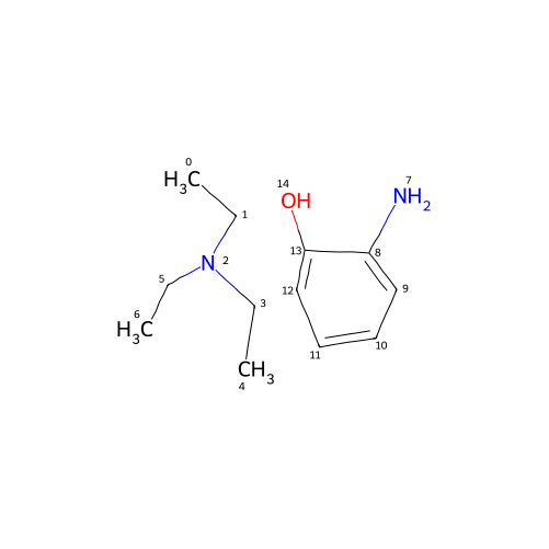 CCN(CC)CC.Nc1ccccc1O